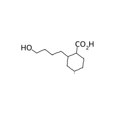 O=C(O)C1CC[CH]CC1CCCCO